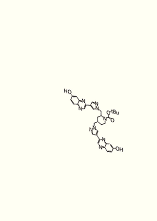 CC(C)(C)OC(=O)N1CCC(Cn2cc(-c3cnc4ccc(O)cc4n3)cn2)CC1Cn1cc(-c2cnc3ccc(O)cc3n2)cn1